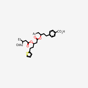 CCC(CC(=O)OC(CCc1cccs1)CC(=O)OC(CCc1ccc(C(=O)O)cc1)CC(C)=O)OC